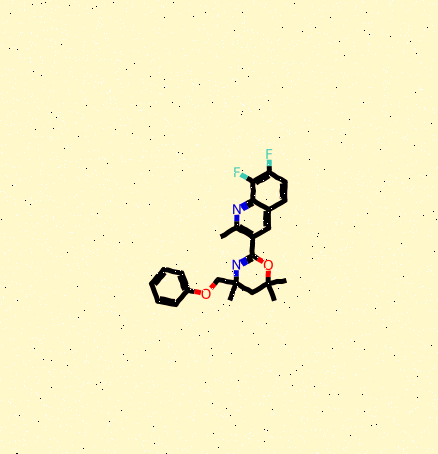 Cc1nc2c(F)c(F)ccc2cc1C1=NC(C)(COc2ccccc2)CC(C)(C)O1